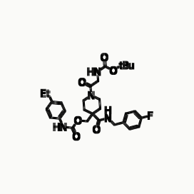 CCc1ccc(NC(=O)OCC2(C(=O)NCc3ccc(F)cc3)CCN(C(=O)CNC(=O)OC(C)(C)C)CC2)cc1